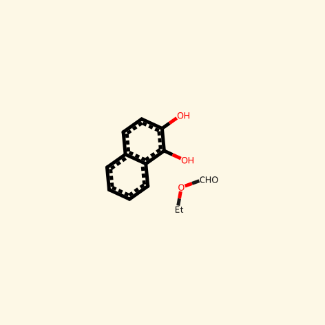 CCOC=O.Oc1ccc2ccccc2c1O